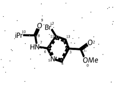 COC(=O)c1cnc(NC(=O)C(C)C)c(Br)c1